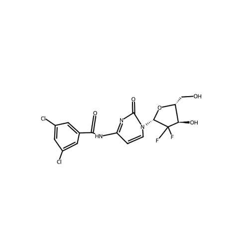 O=C(Nc1ccn([C@@H]2O[C@H](CO)[C@@H](O)C2(F)F)c(=O)n1)c1cc(Cl)cc(Cl)c1